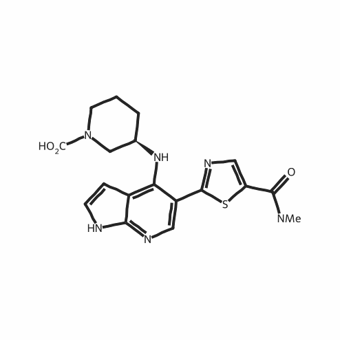 CNC(=O)c1cnc(-c2cnc3[nH]ccc3c2N[C@@H]2CCCN(C(=O)O)C2)s1